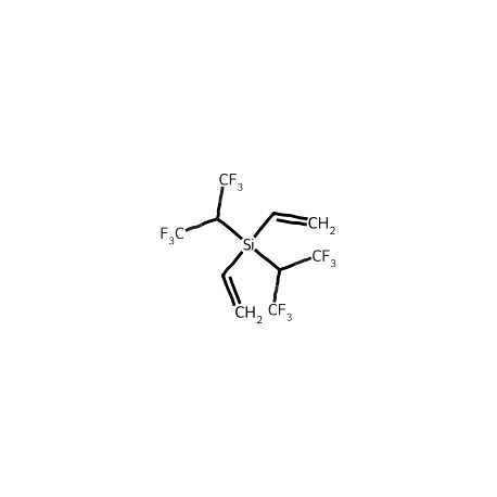 C=C[Si](C=C)(C(C(F)(F)F)C(F)(F)F)C(C(F)(F)F)C(F)(F)F